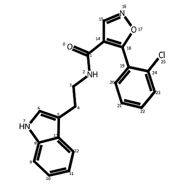 O=C(NCCc1c[nH]c2ccccc12)c1cnoc1-c1ccccc1Cl